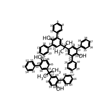 CC(C)(c1cc(-c2ccccc2)c(O)c(-c2ccccc2)c1)c1cc(-c2ccccc2)c(O)c(-c2ccccc2)c1.CC(C)(c1ccc(O)c(-c2ccccc2)c1)c1ccc(O)c(-c2ccccc2)c1